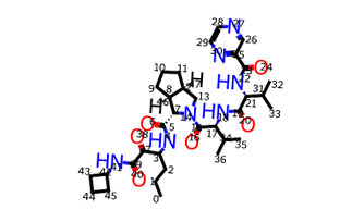 CCCC(NC(=O)[C@@H]1[C@H]2CCC[C@H]2CN1C(=O)[C@@H](NC(=O)[C@H](NC(=O)c1cnccn1)C(C)C)C(C)C)C(=O)C(=O)NC1CCC1